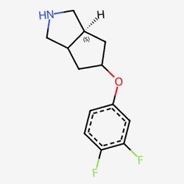 Fc1ccc(OC2CC3CNC[C@H]3C2)cc1F